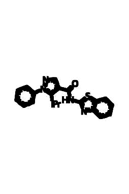 CC(C)c1c(C(=O)Nc2nc3ccccc3s2)cnn1-c1ccccc1